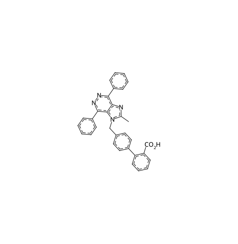 Cc1nc2c(-c3ccccc3)nnc(-c3ccccc3)c2n1Cc1ccc(-c2ccccc2C(=O)O)cc1